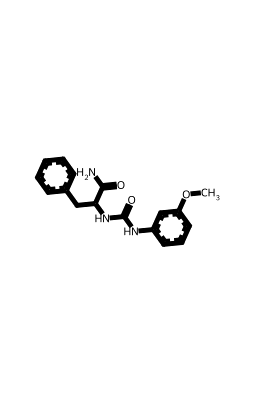 COc1cccc(NC(=O)NC(Cc2ccccc2)C(N)=O)c1